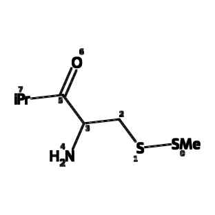 CSSCC(N)C(=O)C(C)C